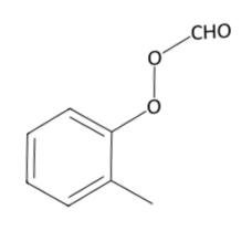 Cc1ccccc1OOC=O